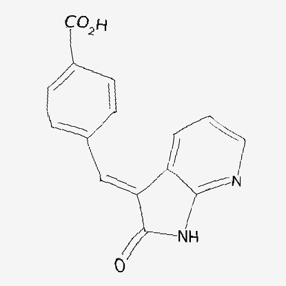 O=C1Nc2ncccc2C1=Cc1ccc(C(=O)O)cc1